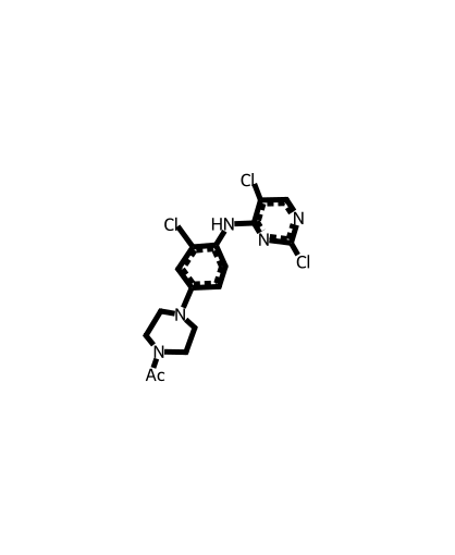 CC(=O)N1CCN(c2ccc(Nc3nc(Cl)ncc3Cl)c(Cl)c2)CC1